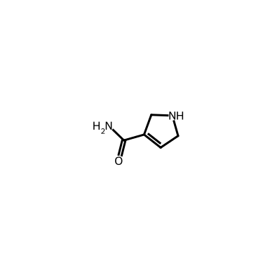 NC(=O)C1=CCNC1